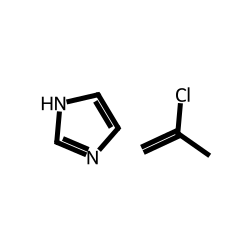 C=C(C)Cl.c1c[nH]cn1